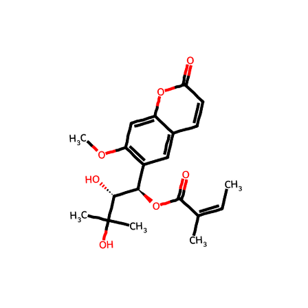 C/C=C(/C)C(=O)O[C@H](c1cc2ccc(=O)oc2cc1OC)[C@@H](O)C(C)(C)O